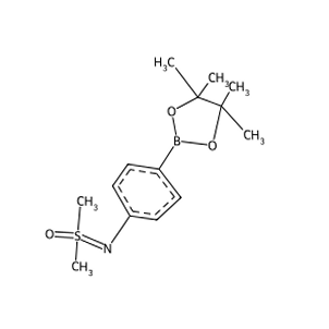 CC1(C)OB(c2ccc(N=S(C)(C)=O)cc2)OC1(C)C